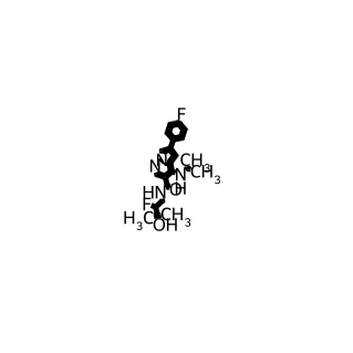 CC(C)Nc1c(C(=O)NCC(F)C(C)(C)O)cnn2cc(-c3ccc(F)cc3)cc12